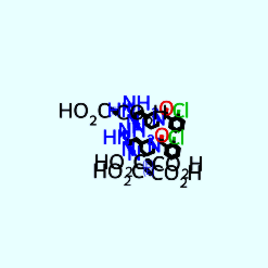 NNc1cc2c(nn1)CCN(C(=O)c1ccccc1Cl)C2.NNc1cc2c(nn1)CCN(C(=O)c1ccccc1Cl)C2.O=C(O)/C=C/C(=O)O.O=C(O)/C=C/C(=O)O.O=C(O)/C=C/C(=O)O